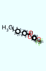 CCC[C@H]1CC[C@H](C2CCC(C(=O)Oc3ccc(OC(F)(F)F)cc3)CC2)CC1